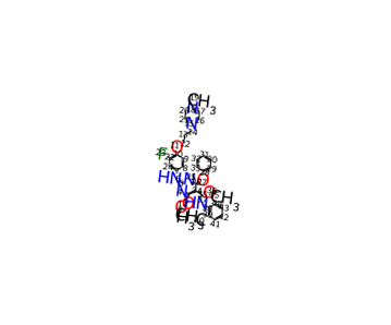 COOc1nc(Nc2ccc(OCCCN3CCN(C)CC3)c(F)c2)nc(Oc2ccccc2)c1C(=O)Nc1c(C)cccc1C